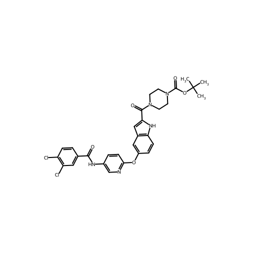 CC(C)(C)OC(=O)N1CCN(C(=O)c2cc3cc(Oc4ccc(NC(=O)c5ccc(Cl)c(Cl)c5)cn4)ccc3[nH]2)CC1